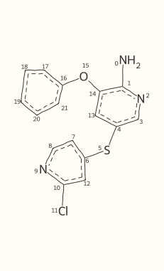 Nc1ncc(Sc2ccnc(Cl)c2)cc1Oc1ccccc1